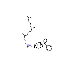 C/C(=C\CN1CCN(C(=O)c2ccccc2)CC1)CCCC(C)CCCC(C)CCCC(C)C